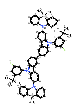 C[SiH]1c2ccccc2N(c2ccc3c4cc(-c5ccc6c(c5)c5ccc(N7c8ccccc8[Si](C)(C)c8ccccc87)cc5n6-c5cc(F)cc(C(C)(C)C)c5)ccc4n(-c4cc(F)cc(C(C)(C)C)c4)c3c2)c2ccccc21